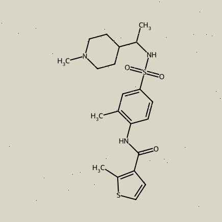 Cc1cc(S(=O)(=O)NC(C)C2CCN(C)CC2)ccc1NC(=O)c1ccsc1C